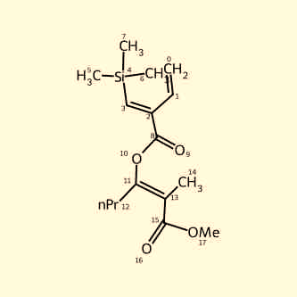 C=CC(=C[Si](C)(C)C)C(=O)OC(CCC)=C(C)C(=O)OC